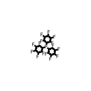 Fc1c(F)c(F)c(P(c2c(F)c(F)c(F)c(F)c2F)c2c(F)c(F)c(F)c(F)c2F)c(F)c1F